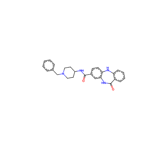 O=C(NC1CCN(Cc2ccccc2)CC1)c1ccc2c(c1)NC(=O)c1ccccc1N2